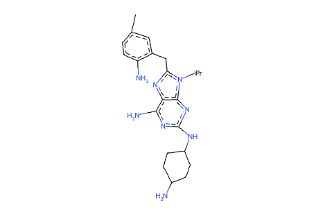 Cc1ccc(N)c(Cc2nc3c(N)nc(NC4CCC(N)CC4)nc3n2C(C)C)c1